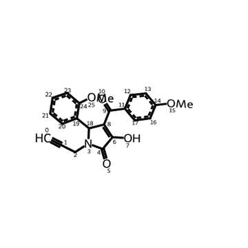 C#CCN1C(=O)C(O)=C(C(=O)c2ccc(OC)cc2)C1c1ccccc1OC